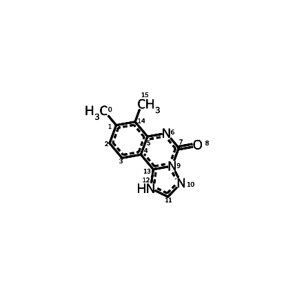 Cc1ccc2c(nc(=O)n3nc[nH]c23)c1C